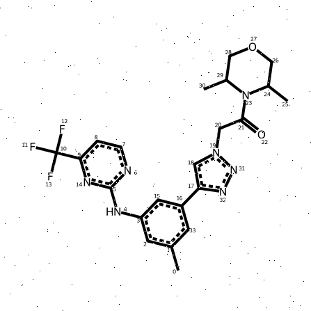 Cc1cc(Nc2nccc(C(F)(F)F)n2)cc(-c2cn(CC(=O)N3C(C)COCC3C)nn2)c1